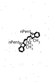 CCCCCN1/C(=C/C=C/C2=[N+](CCCCC)c3ccccc3C2(C)C)C(C)(C)c2ccccc21